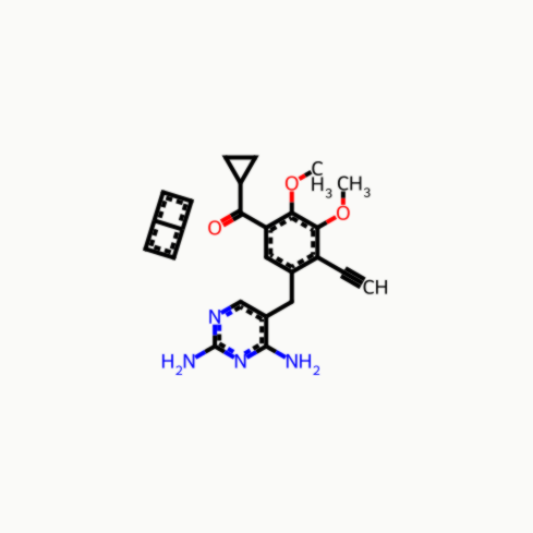 C#Cc1c(Cc2cnc(N)nc2N)cc(C(=O)C2CC2)c(OC)c1OC.c1cc2ccc1-2